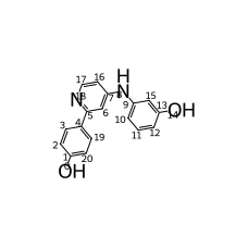 Oc1ccc(-c2cc(Nc3cccc(O)c3)ccn2)cc1